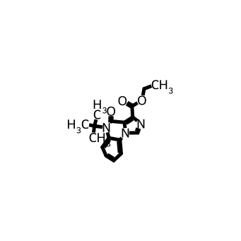 CCOC(=O)c1ncn2c1c(=O)n(C(C)(C)C)c1ccccc12